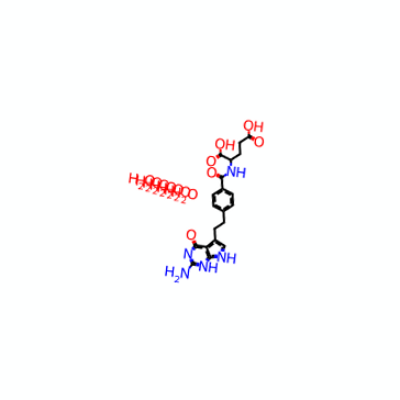 Nc1nc(=O)c2c(CCc3ccc(C(=O)NC(CCC(=O)O)C(=O)O)cc3)c[nH]c2[nH]1.O.O.O.O.O.O.O